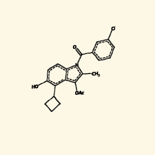 CC(=O)Oc1c(C)n(C(=O)c2cccc(Cl)c2)c2ccc(O)c(C3CCC3)c12